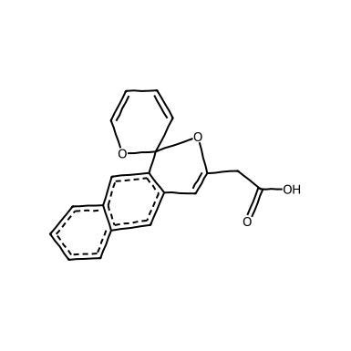 O=C(O)CC1=Cc2cc3ccccc3cc2C2(C=CC=CO2)O1